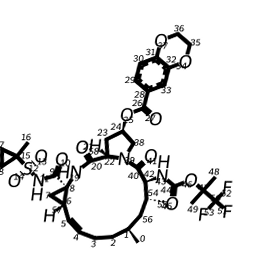 C[C@H]1CC/C=C\[C@@H]2C[C@@]2(C(=O)NS(=O)(=O)C2(C)CC2)NC(=O)[C@@H]2C[C@@H](OC(=O)c3ccc4c(c3)OCCO4)CN2C(=O)[C@@H](NC(=O)OC(C)(C)C(F)(F)F)[C@H](C)C1